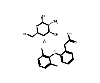 N[C@@H]1[C@@H](O)[C@H](O)[C@@H](CO)O[C@H]1O.O=C(O)Cc1ccccc1Nc1c(Cl)cccc1Cl